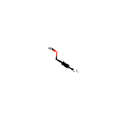 [CH2]C#CCOC(C)=O